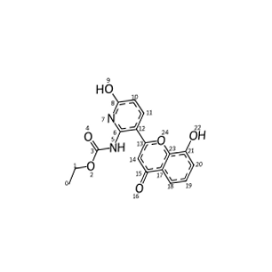 CCOC(=O)Nc1nc(O)ccc1-c1cc(=O)c2cccc(O)c2o1